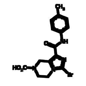 Cc1ccc(NC(=O)c2nc(Br)n3c2CN(C(=O)O)CC3)cc1